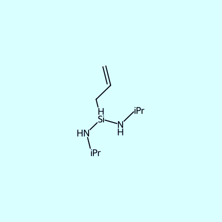 C=CC[SiH](NC(C)C)NC(C)C